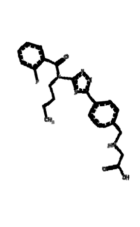 CCCCN(C(=O)c1ccccc1F)c1nnc(-c2ccc(CNCC(=O)O)cc2)s1